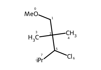 COCC(C)(C)C(Cl)[C](C)C